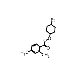 CCC1CC[C](OOC(=O)c2ccc(C)cc2C)CC1